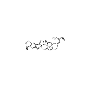 CN(C)/C=C1/CCC2=CC3=CCC4(C)C(c5ccc6[nH]ncc6c5)=CC[C@H]4[C@@]34CC[C@]2(C1)O4